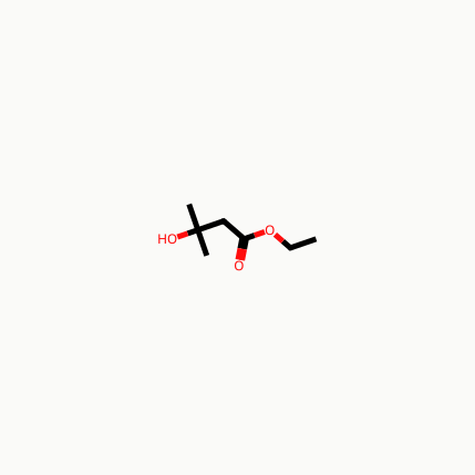 CCOC(=O)CC(C)(C)O